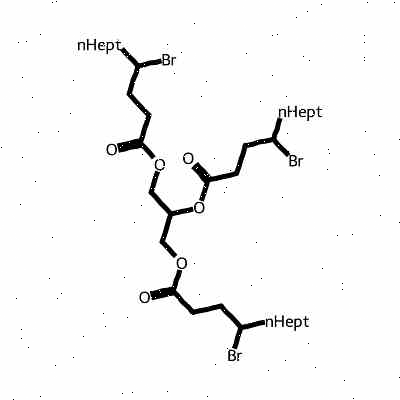 CCCCCCCC(Br)CCC(=O)OCC(COC(=O)CCC(Br)CCCCCCC)OC(=O)CCC(Br)CCCCCCC